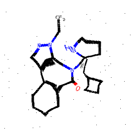 O=c1c2c(c3cnn(CC(F)(F)F)c3n1[C@@]1(C3CCC3)CCCN1)CCCC2